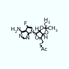 CC(=O)SC[C@H]1O[C@@H](n2cc(F)c3c(N)ncnc32)[C@@H]2OC(C)(C)O[C@@H]21